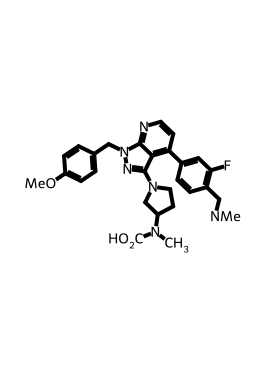 CNCc1ccc(-c2ccnc3c2c(N2CCC(N(C)C(=O)O)C2)nn3Cc2ccc(OC)cc2)cc1F